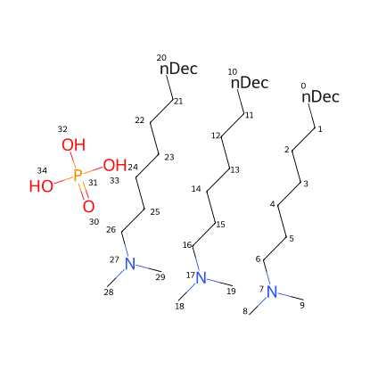 CCCCCCCCCCCCCCCCN(C)C.CCCCCCCCCCCCCCCCN(C)C.CCCCCCCCCCCCCCCCN(C)C.O=P(O)(O)O